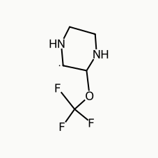 FC(F)(F)OC1[CH]NCCN1